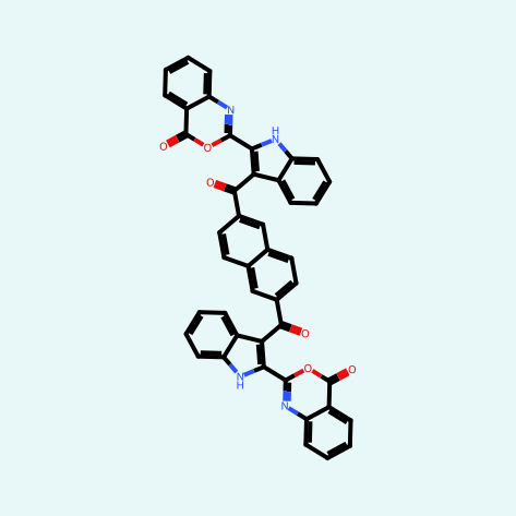 O=C(c1ccc2cc(C(=O)c3c(-c4nc5ccccc5c(=O)o4)[nH]c4ccccc34)ccc2c1)c1c(-c2nc3ccccc3c(=O)o2)[nH]c2ccccc12